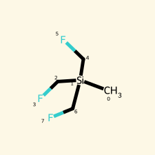 C[Si](CF)(CF)CF